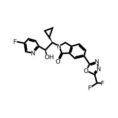 O=C1c2cc(-c3nnc(C(F)F)o3)ccc2CN1[C@H](C1CC1)[C@@H](O)c1ccc(F)cn1